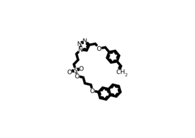 C=Cc1ccc(COCc2cn(CCCS(=O)(=O)OCCCOc3ccc4ccccc4c3)nn2)cc1